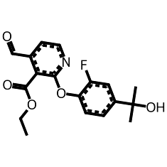 CCOC(=O)c1c(C=O)ccnc1Oc1ccc(C(C)(C)O)cc1F